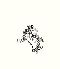 Cc1nn(CCCCCCCC#Cc2cccc3c2CN(C2CCC(=O)N(COCC[Si](C)(C)C)C2=O)C3=O)c2cc(C(=O)Nc3cc4c(cn3)c(C)c([C@H]3CCCN3C)n4COCC[Si](C)(C)C)ccc12